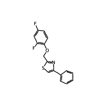 Fc1ccc(OCc2nc(-c3ccccc3)cs2)c(F)c1